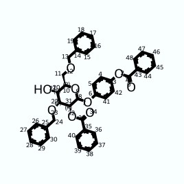 O=C(Oc1ccc(OC2O[C@H](COCc3ccccc3)[C@H](O)[C@H](OCc3ccccc3)[C@H]2OC(=O)c2ccccc2)cc1)c1ccccc1